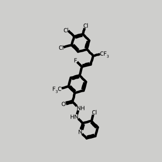 O=C(NNc1ncccc1Cl)c1ccc(C(F)=CC(c2cc(Cl)c(Cl)c(Cl)c2)C(F)(F)F)cc1C(F)(F)F